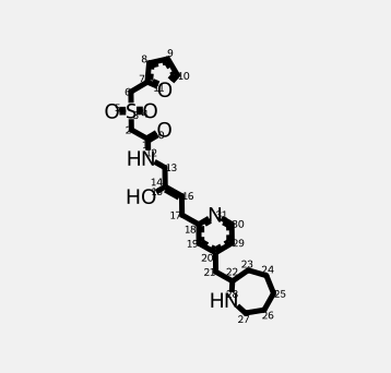 O=C(CS(=O)(=O)Cc1ccco1)NCC(O)=CCc1cc(CC2CCCCCN2)ccn1